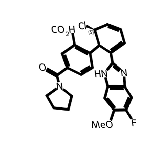 COc1cc2[nH]c(C3=CC=C[C@H](Cl)C3c3ccc(C(=O)N4CCCC4)cc3C(=O)O)nc2cc1F